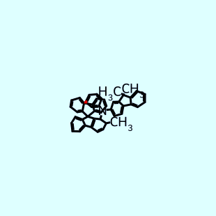 CC1C=CC2=C(C1N(c1ccccc1)c1ccc3c(c1)C(C)(C)c1ccccc1-3)C1(c3ccccc32)c2ccccc2-c2ccccc21